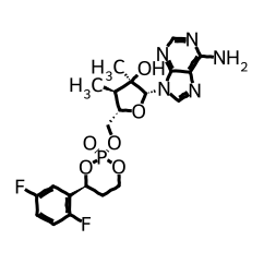 C[C@@H]1[C@@H](COP2(=O)OCC[C@@H](c3cc(F)ccc3F)O2)O[C@@H](n2cnc3c(N)ncnc32)[C@]1(C)O